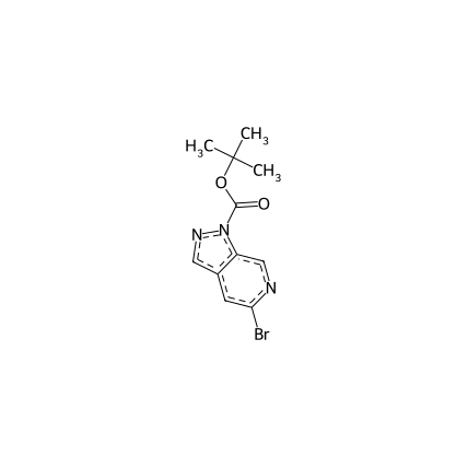 CC(C)(C)OC(=O)n1ncc2cc(Br)ncc21